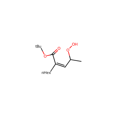 CCCCCCC(=CC(C)OO)C(=O)OC(C)(C)C